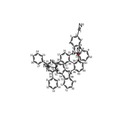 N#Cc1ccc2c(c1)c1ccccc1n2-c1ccc(-c2nc(-c3ccccc3)nc(-c3ccccc3)n2)cc1-c1c(C#N)cccc1-n1c2ccccc2c2cc(C#N)ccc21